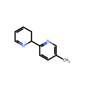 Cc1ccc(C2CC=CC=N2)nc1